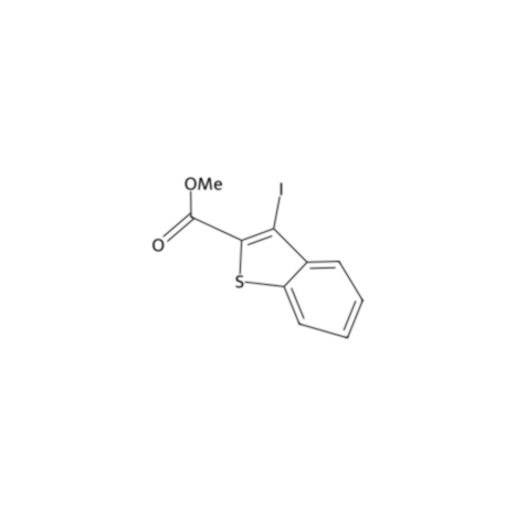 COC(=O)c1sc2ccccc2c1I